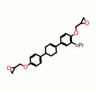 CCCc1cc(C2=CCC(c3ccc(OCC4CO4)cc3)CC2)ccc1OCC1CO1